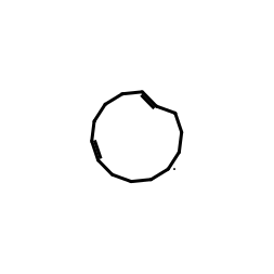 [CH]1CCC/C=C\CCC/C=C/CCC1